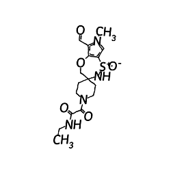 CCNC(=O)C(=O)N1CCC2(CC1)COc1c(cn(C)c1C=O)[S+]([O-])N2